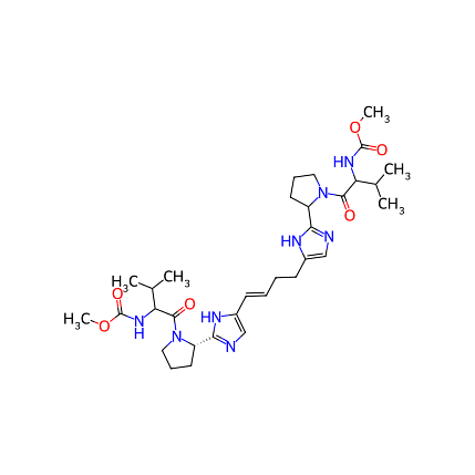 COC(=O)NC(C(=O)N1CCCC1c1ncc(CC/C=C/c2cnc([C@@H]3CCCN3C(=O)C(NC(=O)OC)C(C)C)[nH]2)[nH]1)C(C)C